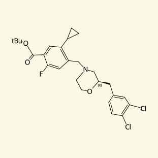 CC(C)(C)OC(=O)c1cc(C2CC2)c(CN2CCO[C@H](Cc3ccc(Cl)c(Cl)c3)C2)cc1F